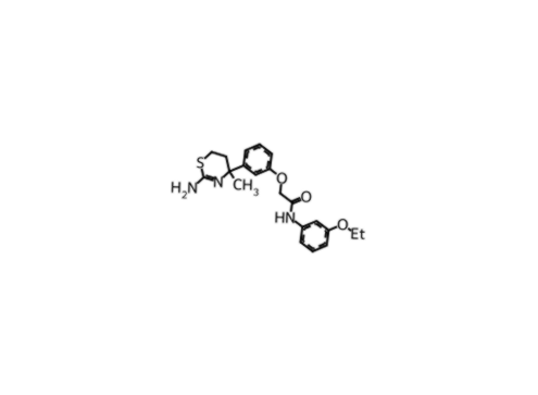 CCOc1cccc(NC(=O)COc2cccc(C3(C)CCSC(N)=N3)c2)c1